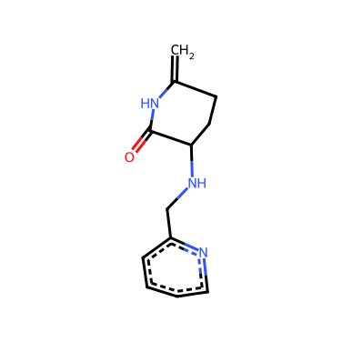 C=C1CCC(NCc2ccccn2)C(=O)N1